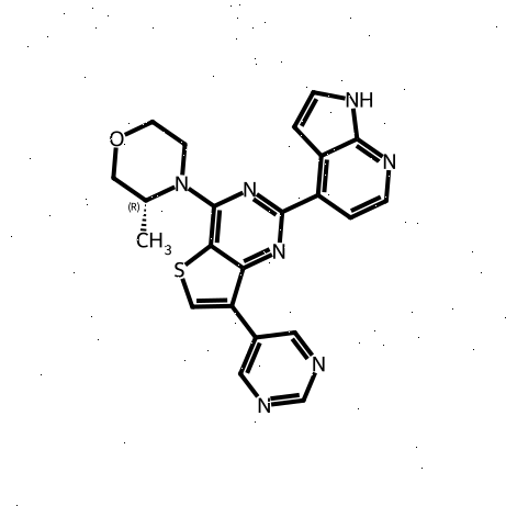 C[C@@H]1COCCN1c1nc(-c2ccnc3[nH]ccc23)nc2c(-c3cncnc3)csc12